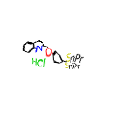 CCCSC(SCCC)c1ccc(OCc2ccc3ccccc3n2)cc1.Cl